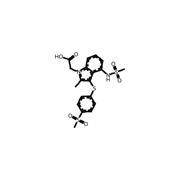 Cc1c(Sc2ccc(S(C)(=O)=O)cc2)c2c(NS(C)(=O)=O)cccc2n1CC(=O)O